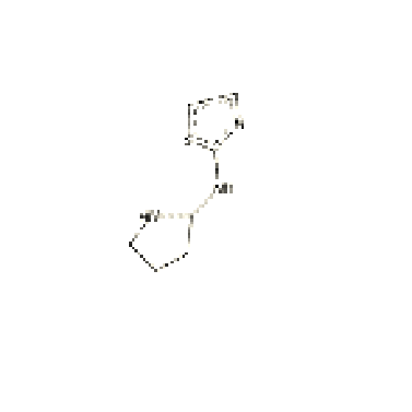 c1csc(NC2CCCN2)n1